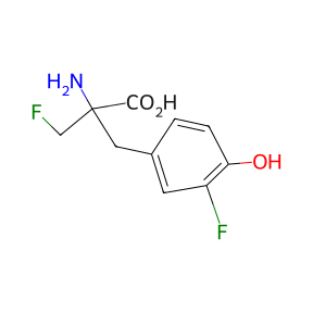 NC(CF)(Cc1ccc(O)c(F)c1)C(=O)O